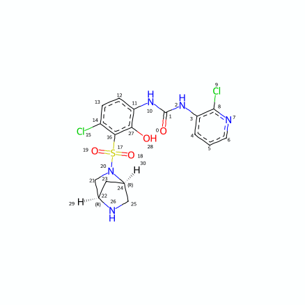 O=C(Nc1cccnc1Cl)Nc1ccc(Cl)c(S(=O)(=O)N2C[C@H]3C[C@@H]2CN3)c1O